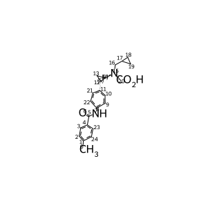 Cc1ccc(C(=O)Nc2ccc([C@@H]3C[C@H]3N(CC3CC3)C(=O)O)cc2)cc1